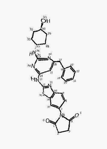 O=C1CCC(=O)N1c1ccc2nc(Nc3cc(Cc4ccccc4)nc(N[C@H]4CC[C@H](O)CC4)n3)sc2c1